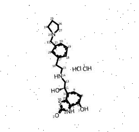 Cl.Cl.O=c1[nH]c2c(O)ccc([C@@H](O)CNCCc3cccc(CN4CCCC4)c3)c2s1